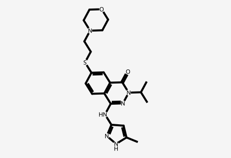 Cc1cc(Nc2nn(C(C)C)c(=O)c3cc(SCCN4CCOCC4)ccc23)n[nH]1